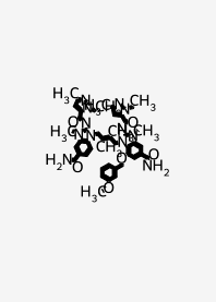 CCn1nc(C)cc1C(=O)/N=c1\n(C)c2cc(C(N)=O)ccc2n1C/C(C)=C(\C)Cn1/c(=N/C(=O)c2cc(C)nn2CC)n(C)c2cc(C(N)=O)cc(OCc3cccc(OC)c3)c21